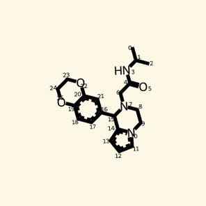 CC(C)NC(=O)CN1CCn2cccc2C1c1ccc2c(c1)OCCO2